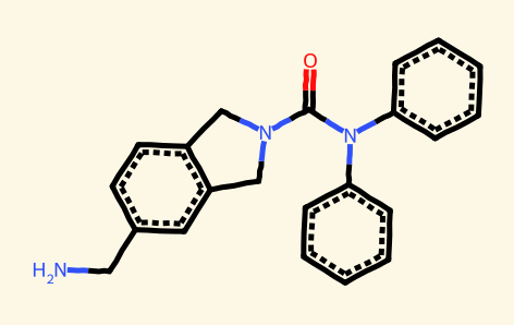 NCc1ccc2c(c1)CN(C(=O)N(c1ccccc1)c1ccccc1)C2